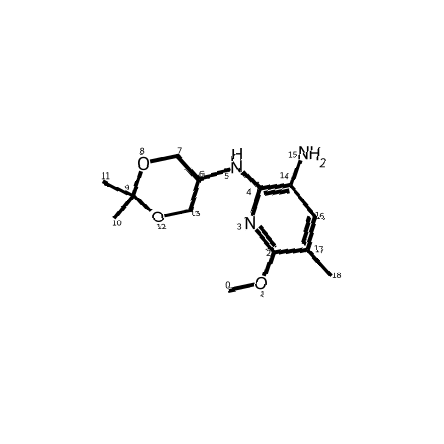 COc1nc(NC2COC(C)(C)OC2)c(N)cc1C